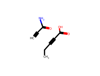 C#CC(N)=O.CCC#CC(=O)O